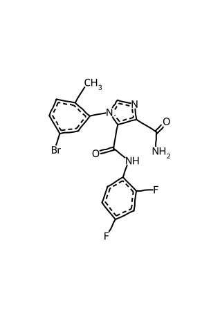 Cc1ccc(Br)cc1-n1cnc(C(N)=O)c1C(=O)Nc1ccc(F)cc1F